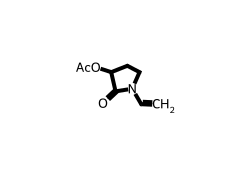 C=CN1CCC(OC(C)=O)C1=O